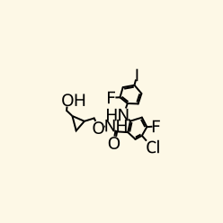 O=C(NOCC1CC1CO)c1cc(Cl)c(F)cc1Nc1ccc(I)cc1F